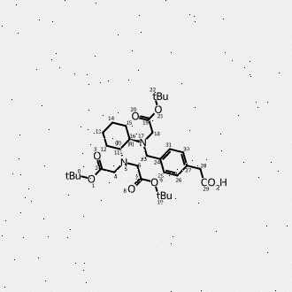 CC(C)(C)OC(=O)CN(CC(=O)OC(C)(C)C)[C@@H]1CCCC[C@H]1N(CC(=O)OC(C)(C)C)Cc1ccc(CC(=O)O)cc1